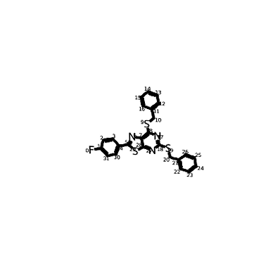 Fc1ccc(-c2nc3c(SCc4ccccc4)nc(SCc4ccccc4)nc3s2)cc1